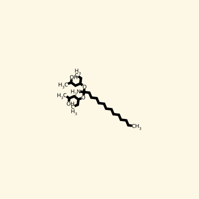 CCCCCCCCCCCCCC(N)(OC(CC)CC(C)O)OC(CC)CC(C)O